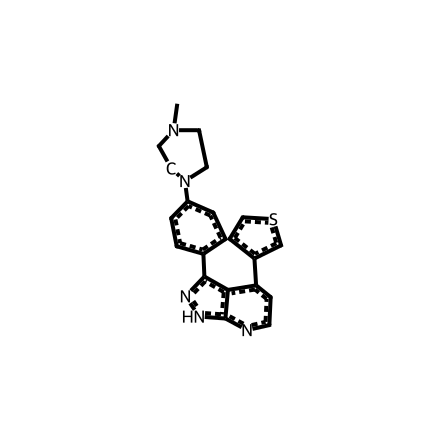 CN1CCN(c2ccc(-c3n[nH]c4nccc(-c5ccsc5)c34)cc2)CC1